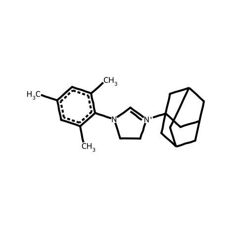 Cc1cc(C)c(N2C=[N+](C34CC5CC(CC(C5)C3)C4)CC2)c(C)c1